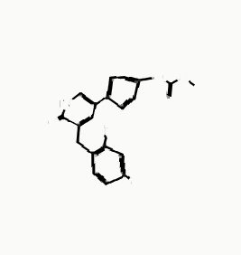 COC(=O)Oc1ccc(-c2c[nH]c(=O)c(Cc3ccc(Cl)cc3F)c2)cc1